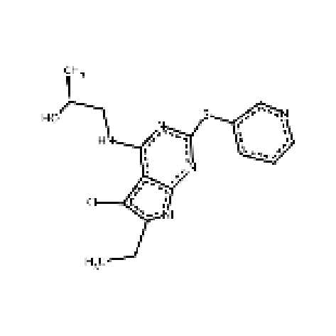 CCc1[nH]c2nc(Sc3cccnc3)nc(NC[C@H](C)O)c2c1Cl